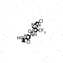 O=C(Nc1cnc(C2(O)CC2)c(Cl)c1)N1CC(C(F)(F)F)c2c1cnc1cc(Cl)nn21